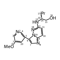 COc1cncc(-c2cnc3ccc(N[C@H](CO)C(C)C)nn23)c1